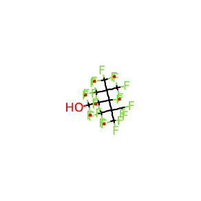 OC(F)(F)C(F)(F)C(F)(C(C(F)(F)F)(C(F)(F)F)C(F)(F)F)C(C(F)(F)F)(C(F)(F)F)C(F)(F)F